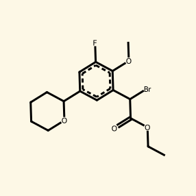 CCOC(=O)C(Br)c1cc(C2CCCCO2)cc(F)c1OC